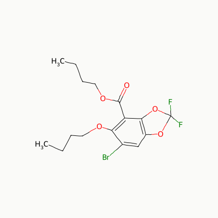 CCCCOC(=O)c1c(OCCCC)c(Br)cc2c1OC(F)(F)O2